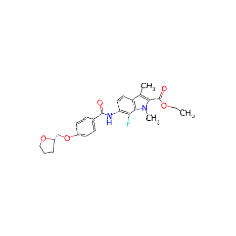 CCOC(=O)c1c(C)c2ccc(NC(=O)c3ccc(OC[C@@H]4CCCO4)cc3)c(F)c2n1C